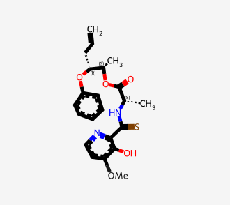 C=CC[C@@H](Oc1ccccc1)[C@H](C)OC(=O)[C@H](C)NC(=S)c1nccc(OC)c1O